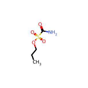 CCCOS(=O)(=O)C(N)=O